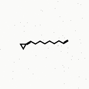 C=CCCCCCCC=C1CC1